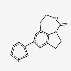 S=C1NCCc2cc(-c3cccnc3)cc3c2N1CC3